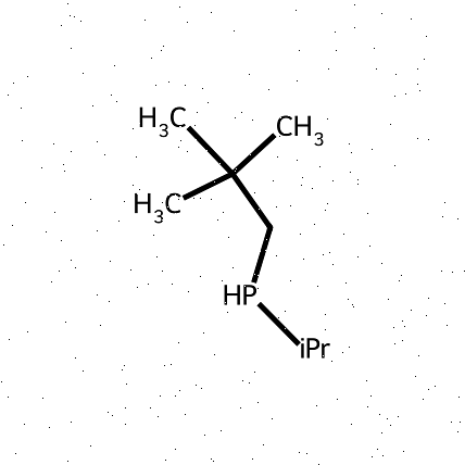 CC(C)PCC(C)(C)C